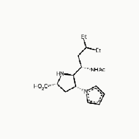 CCC(CC)C[C@H](NC(C)=O)[C@@H]1N[C@@H](C(=O)O)C[C@H]1n1cccc1